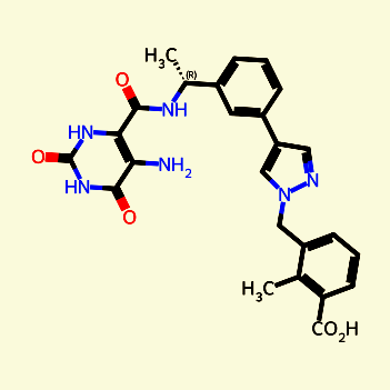 Cc1c(Cn2cc(-c3cccc([C@@H](C)NC(=O)c4[nH]c(=O)[nH]c(=O)c4N)c3)cn2)cccc1C(=O)O